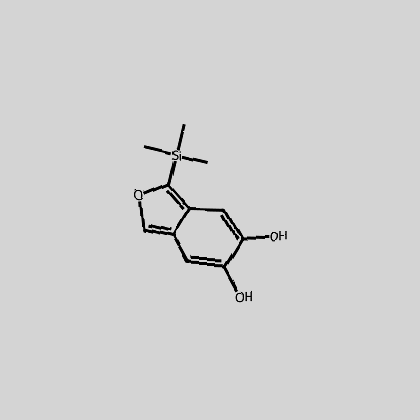 C[Si](C)(C)c1occ2cc(O)c(O)cc12